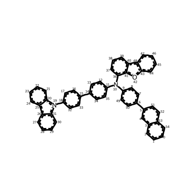 c1ccc2cc(-c3ccc(N(c4ccc(-c5ccc(-n6c7ccccc7c7ccccc76)cc5)cc4)c4cccc5c4oc4ccccc45)cc3)ccc2c1